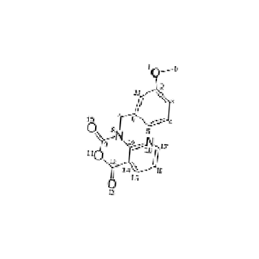 COc1cccc(Cn2c(=O)oc(=O)c3cccnc32)c1